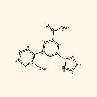 COC(=O)c1cc(-c2nnn[nH]2)cc(-c2ccccc2OC)c1